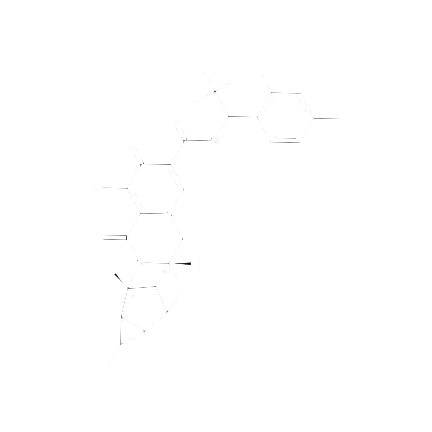 CC1C2C3C[C@H](C12)N1C(=O)c2c(O)c(=O)c(C(=O)NC(c4ccc(F)cc4F)C(F)(F)F)cn2C[C@@H]1O3